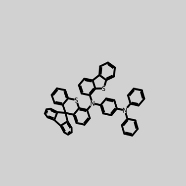 c1ccc(N(c2ccccc2)c2ccc(N(c3cccc4c3Sc3ccccc3C43c4ccccc4-c4ccccc43)c3cccc4c3sc3ccccc34)cc2)cc1